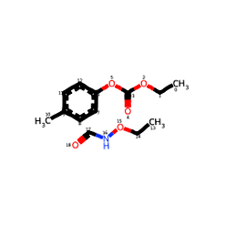 CCOC(=O)Oc1ccc(C)cc1.CCONC=O